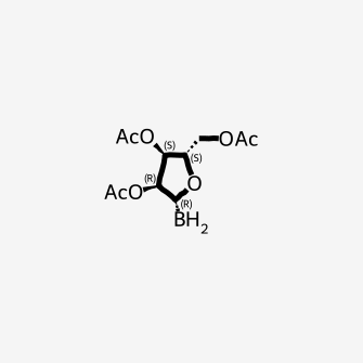 B[C@H]1O[C@@H](COC(C)=O)[C@H](OC(C)=O)[C@@H]1OC(C)=O